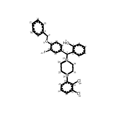 Oc1ccccc1C(c1ccc(OCc2ccccc2)c(F)c1)N1CCN(c2cccc(Cl)c2Cl)CC1